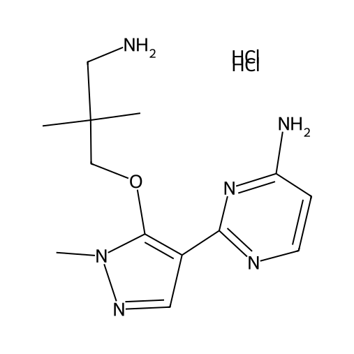 Cl.Cl.Cn1ncc(-c2nccc(N)n2)c1OCC(C)(C)CN